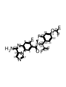 CN(C(=O)c1cc2c(cc1F)nc(N)c1cncn12)[C@@H](c1ccc(OC(F)F)cc1F)C(F)F